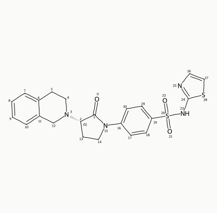 O=C1[C@@H](N2CCc3ccccc3C2)CCN1c1ccc(S(=O)(=O)Nc2nccs2)cc1